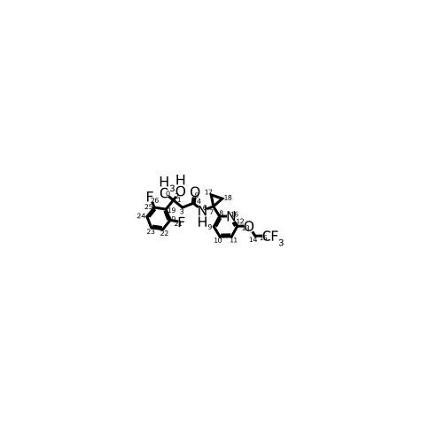 CC(O)(CC(=O)NC1(c2cccc(OCC(F)(F)F)n2)CC1)c1c(F)cccc1F